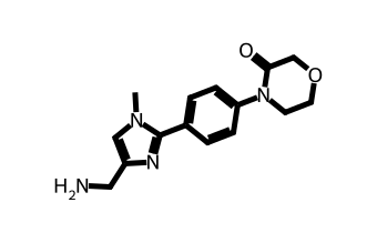 Cn1cc(CN)nc1-c1ccc(N2CCOCC2=O)cc1